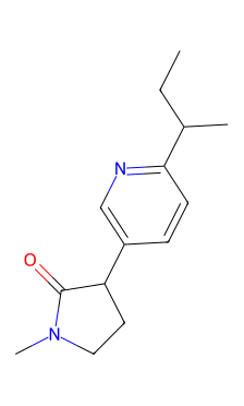 CCC(C)c1ccc(C2CCN(C)C2=O)cn1